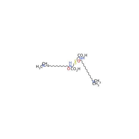 CN(C)CCCCCCCCCCCCCCC(=O)NC(CCSSCCC(NC(=O)CCCCCCCCCCCCCCN(C)C)C(=O)O)C(=O)O